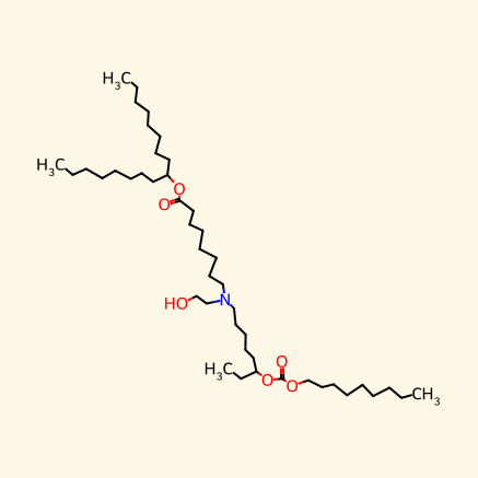 CCCCCCCCCOC(=O)OC(CC)CCCCCN(CCO)CCCCCCCC(=O)OC(CCCCCCCC)CCCCCCCC